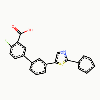 O=C(O)c1cc(-c2cccc(-c3cnc(-c4ccccc4)s3)c2)ccc1F